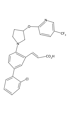 O=C(O)C=Cc1cc(-c2ccccc2Cl)ccc1N1CCC(Oc2ccc(C(F)(F)F)cn2)C1